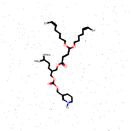 C[CH]CCCCC(CCCC)CCC(COC(=O)CCC(OCCCC/C=C\CC)OCCCC/C=C\CC)COC(=O)OCC1CCCN(CC)C1